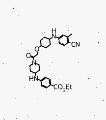 CCOC(=O)c1ccc(NC2CCN(C(=O)COC3CCC(Nc4ccc(C#N)c(C)c4)CC3)CC2)cc1